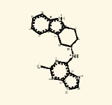 Clc1nc(N[C@@H]2CCc3[nH]c4ccccc4c3C2)c2ncsc2n1